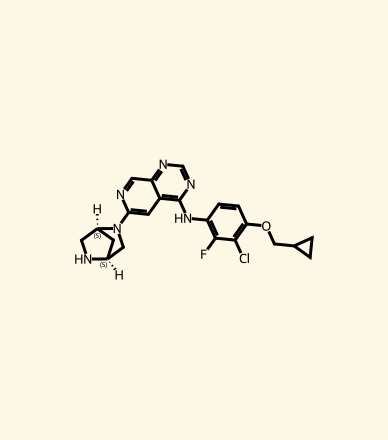 Fc1c(Nc2ncnc3cnc(N4C[C@@H]5C[C@H]4CN5)cc23)ccc(OCC2CC2)c1Cl